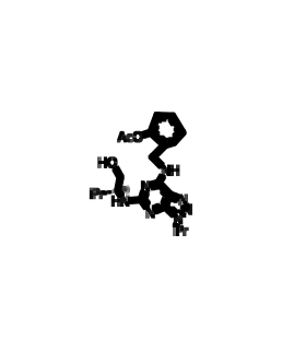 CC(=O)Oc1ccccc1CNc1nc(N[C@@H](CO)C(C)C)nc2c1nnn2C(C)C